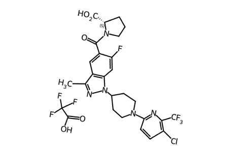 Cc1nn(C2CCN(c3ccc(Cl)c(C(F)(F)F)n3)CC2)c2cc(F)c(C(=O)N3CCC[C@H]3C(=O)O)cc12.O=C(O)C(F)(F)F